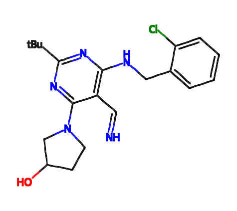 CC(C)(C)c1nc(NCc2ccccc2Cl)c(C=N)c(N2CCC(O)C2)n1